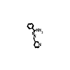 N/C(=N\N=C\c1cccnc1)c1ccccc1